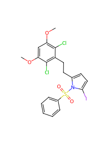 COc1cc(OC)c(Cl)c(CCc2ccc(I)n2S(=O)(=O)c2ccccc2)c1Cl